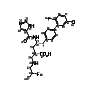 O=C(N[C@H](Cc1ccc(-c2cc(Cl)ccc2F)cc1)C[C@@H](CNCC(F)F)C(=O)O)c1cnn[nH]1